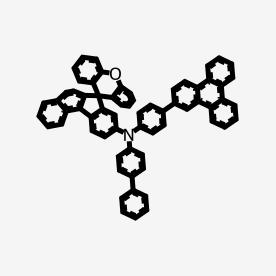 c1ccc(-c2ccc(N(c3ccc(-c4ccc5c6ccccc6c6ccccc6c5c4)cc3)c3ccc4c(c3)C3(c5ccccc5Oc5ccccc53)c3ccc5ccccc5c3-4)cc2)cc1